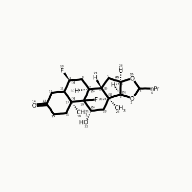 CCCC1O[C@@H]2[C@@H](C[C@H]3[C@@H]4C[C@H](F)C5CC(=O)CC[C@]5(C)C4(F)[C@@H](O)C[C@]23C)O1